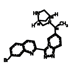 C[C@@H](c1ccc2nnc(-c3ccc4ccc(Br)cc4n3)n2c1)N1C[C@@H]2C[C@H]1CN2